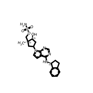 C[C@@]1(COS(N)(=O)=O)CC(n2ccc3c(N[C@H]4CCc5ccccc54)ncnc32)C[C@@H]1O